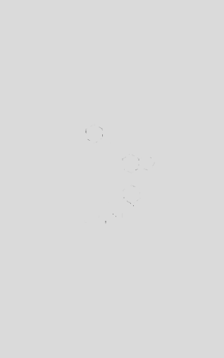 CC(C)(C)OC(=O)NC(c1cc(-c2cc(COc3ccccc3CC(=O)O)cc3ccoc23)ccn1)C(F)(F)F